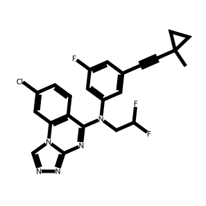 CC1(C#Cc2cc(F)cc(N(CC(F)F)c3nc4nncn4c4cc(Cl)ccc34)c2)CC1